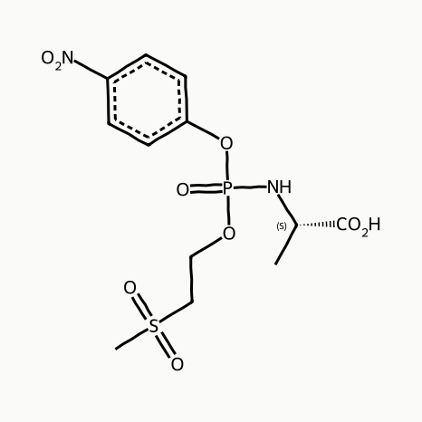 C[C@H](NP(=O)(OCCS(C)(=O)=O)Oc1ccc([N+](=O)[O-])cc1)C(=O)O